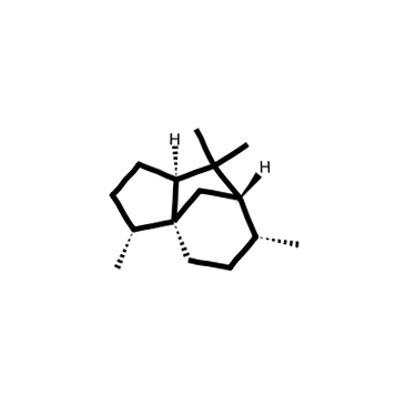 C[C@@H]1CC[C@@]23C[C@@H]1C(C)(C)[C@@H]2CC[C@H]3C